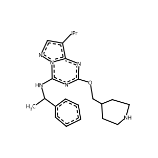 CC(C)c1cnn2c(NC(C)c3ccccc3)nc(OCC3CCNCC3)nc12